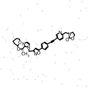 C[C@H](OC1CCCCO1)c1nccn1Cc1cc(-c2ccc(C#Cc3ccc(CN4CCOC4=O)nc3)cc2)on1